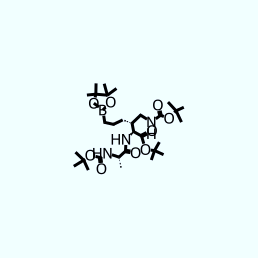 C[C@H](NC(=O)OC(C)(C)C)C(=O)N[C@H](C(=O)OC(C)(C)C)[C@H](CCCB1OC(C)(C)C(C)(C)O1)CNC(=O)OC(C)(C)C